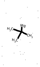 C[C](C)(C)[Mg]